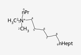 [CH2]CC[N+](C)(C)CCCCCCCCCCCC